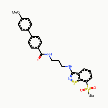 COc1ccc(-c2ccc(C(=O)NCCCNc3nsc4c(S(=O)(=O)C(C)(C)C)cccc34)cc2)cc1